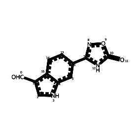 O=Cc1c[nH]c2cc(-c3noc(=O)[nH]3)ccc12